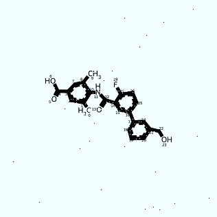 Cc1cc(C(=O)O)cc(C)c1NC(=O)c1cc(-c2cccc(CO)c2)ccc1F